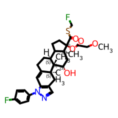 COCC(=O)O[C@]1(C(=O)SCF)CCC2[C@@H]3CCC4=Cc5c(cnn5-c5ccc(F)cc5)C[C@]4(C)[C@@]3(C)[C@@H](O)C[C@@]21C